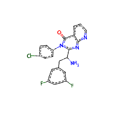 NC(Cc1cc(F)cc(F)c1)c1nc2ncccc2c(=O)n1-c1ccc(Cl)cc1